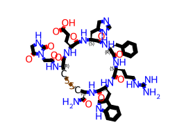 N=C(N)NCCC[C@@H]1NC(=O)[C@@H](Cc2ccccc2)NC(=O)[C@H](CC2CN=CN2)NC(=O)[C@H](CCC(=O)O)NC(=O)[C@@H](NC(=O)CN2C(=O)CNC2=O)CSSC[C@@H](C(N)=O)NC(=O)[C@H](Cc2c[nH]c3ccccc23)NC1=O